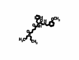 CCCN(CCC)C(=O)CCCC(=O)N[C@@H](Cc1cccs1)[C@H](O)CNCc1cccc(OC)c1